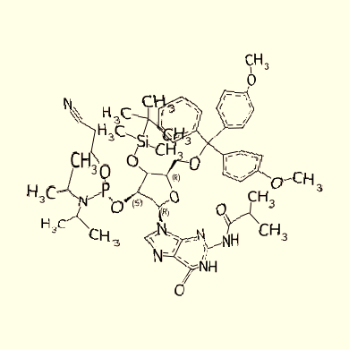 COc1ccc(C(OC[C@H]2O[C@@H](n3cnc4c(=O)[nH]c(NC(=O)C(C)C)nc43)[C@@H](OP(OCCC#N)N(C(C)C)C(C)C)C2O[Si](C)(C)C(C)(C)C)(c2ccccc2)c2ccc(OC)cc2)cc1